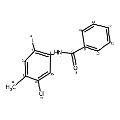 Cc1cc(I)c(NC(=O)c2ccccc2)cc1Cl